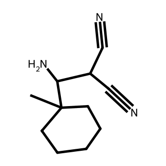 CC1(C(N)C(C#N)C#N)CCCCC1